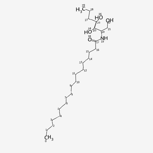 CCCCCCCCCCCCCCCCCC(=O)NC(CO)C(O)C(O)CCC